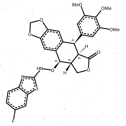 COc1cc([C@@H]2c3cc4c(cc3[C@H](ONc3nc5ccc(F)cc5s3)[C@H]3COC(=O)[C@H]23)OCO4)cc(OC)c1OC